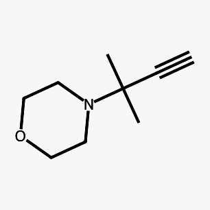 C#CC(C)(C)N1CCOCC1